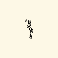 CC(=O)N1CCN(CC(=O)c2ccc(OCCCN3CCC[C@H]3C)c(C)c2)CC1